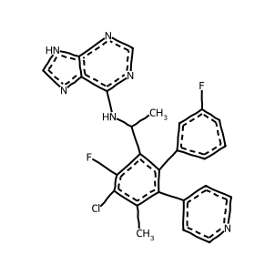 Cc1c(Cl)c(F)c(C(C)Nc2ncnc3[nH]cnc23)c(-c2cccc(F)c2)c1-c1ccncc1